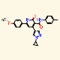 CCCCOc1ccc(-c2cc(-c3cnn(C4CC4)c3)c(C(=O)Nc3ccc(C)cc3)c(=O)[nH]2)cc1